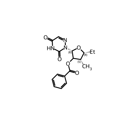 CC[C@H]1O[C@@H](n2ncc(=O)[nH]c2=O)C(OC(=O)c2ccccc2)[C@H]1C